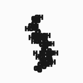 Nc1c(N=Nc2ccc3c(O)c(N=Nc4ccc(N=Nc5cc(S(=O)(=O)O)ccc5S(=O)(=O)O)cc4S(=O)(=O)O)c(S(=O)(=O)O)cc3c2S(=O)(=O)O)cc(S(=O)(=O)O)c2cc(S(=O)(=O)O)c(N=Nc3ccc([N+](=O)[O-])cc3S(=O)(=O)O)c(O)c12